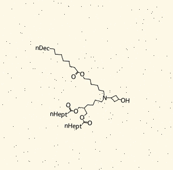 CCCCCCCCCCCCCCCCCC(=O)OCCCCCCN(CCCCC(COC(=O)CCCCCCC)COC(=O)CCCCCCC)C1CC(O)C1